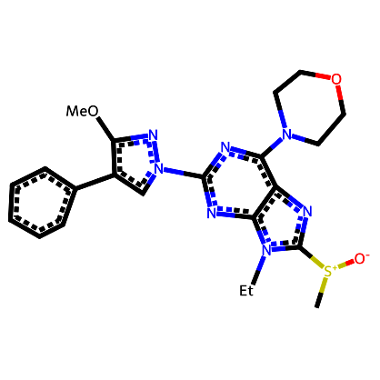 CCn1c([S+](C)[O-])nc2c(N3CCOCC3)nc(-n3cc(-c4ccccc4)c(OC)n3)nc21